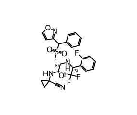 N#CC1(NC(=O)[C@H](CS(=O)(=O)C(c2ccccc2)c2ccon2)N[C@@H](c2ccccc2F)C(F)(F)F)CC1